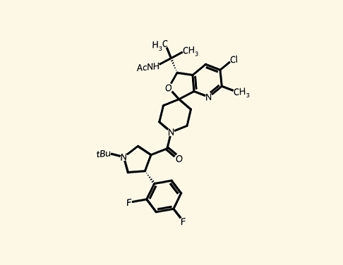 CC(=O)NC(C)(C)[C@H]1OC2(CCN(C(=O)C3CN(C(C)(C)C)C[C@H]3c3ccc(F)cc3F)CC2)c2nc(C)c(Cl)cc21